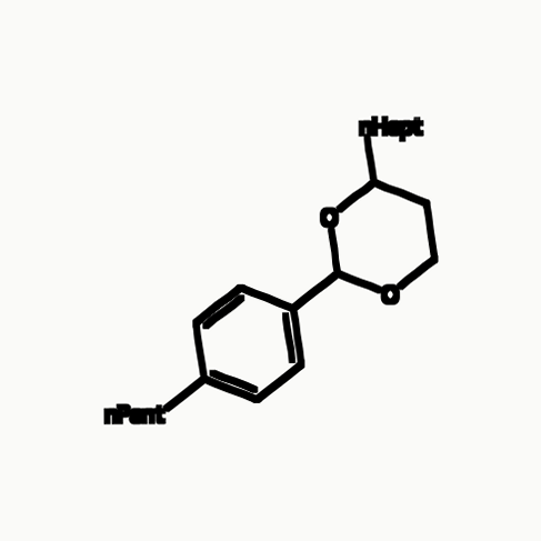 CCCCCCCC1CCOC(c2ccc(CCCCC)cc2)O1